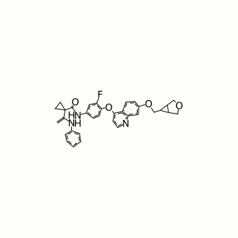 C=C(Nc1ccccc1)C1(C(=O)Nc2ccc(Oc3ccnc4cc(OCC5C6COCC65)ccc34)c(F)c2)CC1